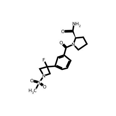 CS(=O)(=O)N1CC(F)(c2cccc(C(=O)N3CCC[C@@H]3C(N)=O)c2)C1